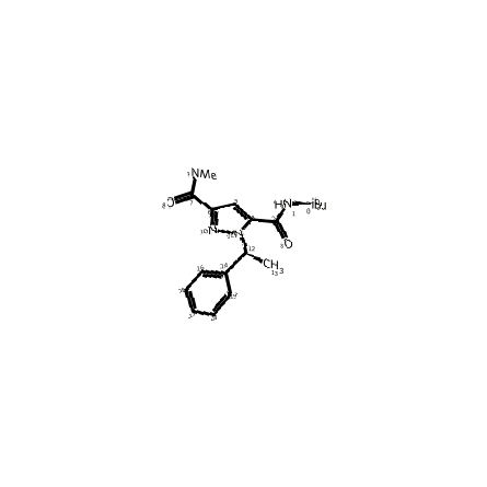 CC[C@H](C)NC(=O)c1cc(C(=O)NC)nn1[C@@H](C)c1ccccc1